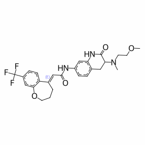 COCCN(C)C1Cc2ccc(NC(=O)/C=C3\CCCOc4cc(C(F)(F)F)ccc43)cc2NC1=O